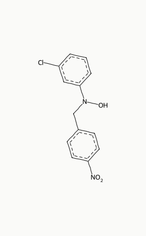 O=[N+]([O-])c1ccc(CN(O)c2cccc(Cl)c2)cc1